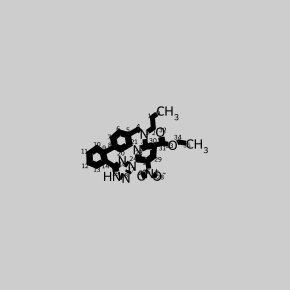 CCCN(Cc1ccc(-c2ccccc2-c2nnn[nH]2)cc1)c1ncc([N+](=O)[O-])cc1C(=O)OCC